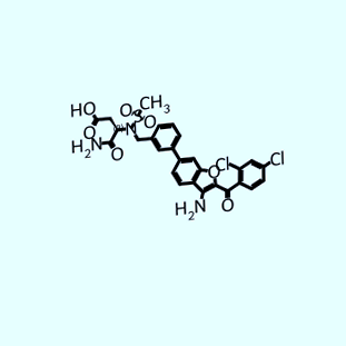 CS(=O)(=O)N(Cc1cccc(-c2ccc3c(N)c(C(=O)c4ccc(Cl)cc4Cl)oc3c2)c1)[C@H](CC(=O)O)C(N)=O